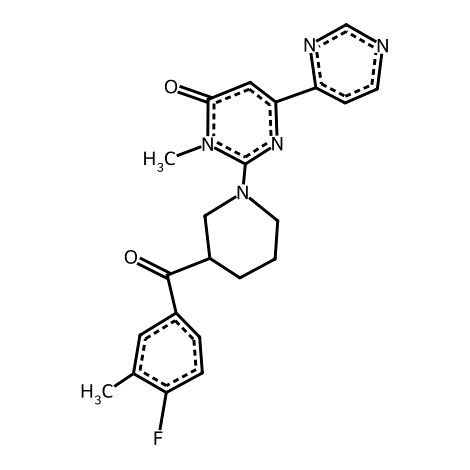 Cc1cc(C(=O)C2CCCN(c3nc(-c4ccncn4)cc(=O)n3C)C2)ccc1F